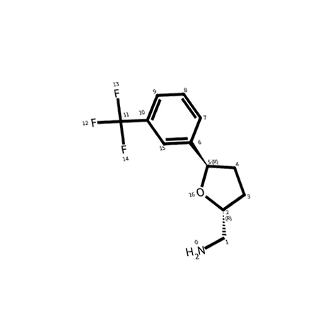 NC[C@H]1CC[C@H](c2cccc(C(F)(F)F)c2)O1